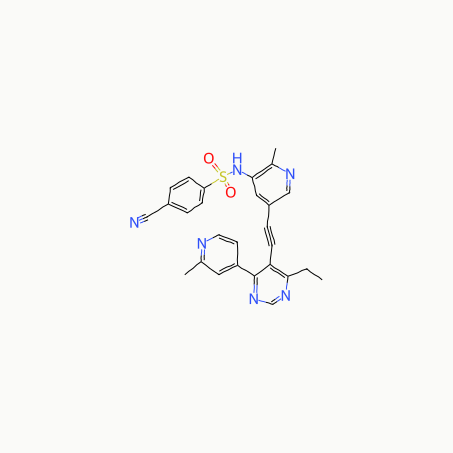 CCc1ncnc(-c2ccnc(C)c2)c1C#Cc1cnc(C)c(NS(=O)(=O)c2ccc(C#N)cc2)c1